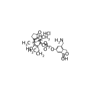 C=C[C@]1(C)C[C@@H](OC(=O)COc2cc(CN)c3c(c2)B(O)OC3)[C@]2(C)[C@H](C)CC[C@]3(CCC(=O)[C@H]32)[C@@H](C)[C@@H]1O.Cl